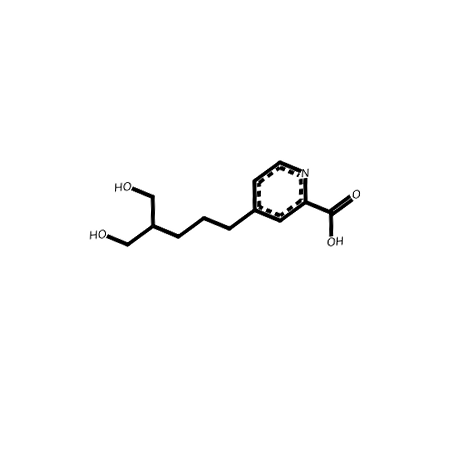 O=C(O)c1cc(CCCC(CO)CO)ccn1